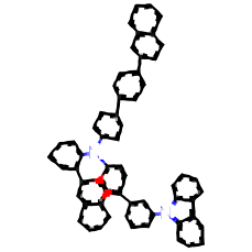 c1cc(-c2ccc(N(c3ccc(-c4ccc(-c5ccc6ccccc6c5)cc4)cc3)c3ccccc3-c3ccc4ccccc4c3)cc2)cc(-n2c3ccccc3c3ccccc32)c1